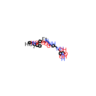 CCN(CCNC(=O)c1ccc(CCNC[C@H](O)c2ccc(O)c3[nH]c(=O)ccc23)cc1)C(=O)COc1cccc([C@@](O)(C(=O)O)c2ccccc2CC2CCN(Cc3ccccc3)CC2)c1